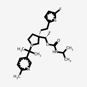 Cc1ccc(C(C)(C)N2CC[C@@](CCc3ccc(F)s3)([C@H](F)OC(=O)NC(C)C)C2)cn1